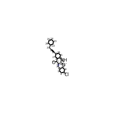 O=C1/C(=C/c2ccc(Cl)cc2)[S+]([O-])Nc2ccc(C#CCc3ccccc3)cc21